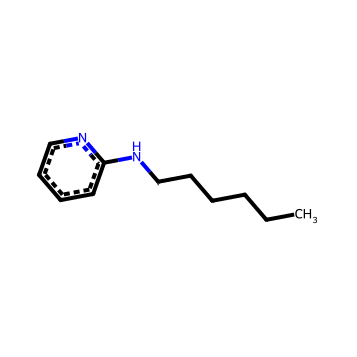 CCCCC[CH]Nc1ccccn1